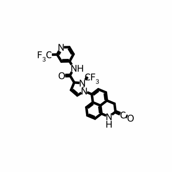 O=C=C1Cc2ccc(N3C=CC(C(=O)Nc4ccnc(C(F)(F)F)c4)N3C(F)(F)F)c3cccc(c23)N1